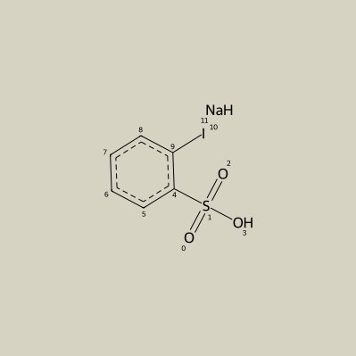 O=S(=O)(O)c1ccccc1I.[NaH]